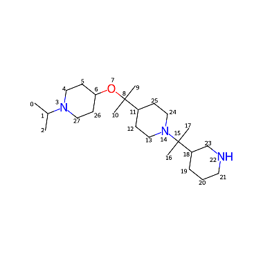 CC(C)N1CCC(OC(C)(C)C2CCN(C(C)(C)C3CCCNC3)CC2)CC1